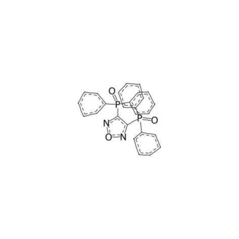 O=P(c1ccccc1)(c1ccccc1)c1nonc1P(=O)(c1ccccc1)c1ccccc1